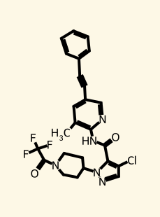 Cc1cc(C#Cc2ccccc2)cnc1NC(=O)c1c(Cl)cnn1C1CCN(C(=O)C(F)(F)F)CC1